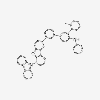 Cc1ccccc1-c1cc(-c2cccc(-c3ccc4oc5c(-n6c7ccccc7c7ccccc76)cccc5c4c3)c2)ccc1Nc1ccccc1